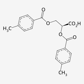 Cc1ccc(C(=O)OC[C@H](OC(=O)c2ccc(C)cc2)C(=O)O)cc1